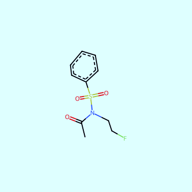 CC(=O)N(CCF)S(=O)(=O)c1ccccc1